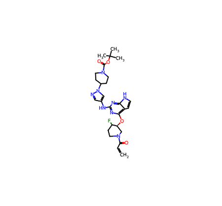 C=CC(=O)N1CC[C@@H](F)[C@@H](Oc2nc(Nc3cnn(C4CCN(C(=O)OC(C)(C)C)CC4)c3)nc3[nH]ccc23)C1